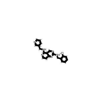 Clc1ccccc1CNc1ncc2c(NCc3cccnc3)nccc2n1